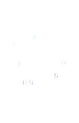 Nc1nocc1C(F)(F)F